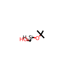 CC(C)(C)O[SiH2]CO